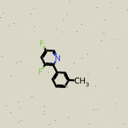 Cc1[c]ccc(-c2ncc(F)cc2F)c1